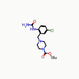 CC(C)(C)OC(=O)N1CCN(Cc2cc(Cl)ccc2NC(N)=O)CC1